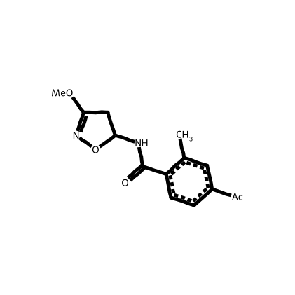 COC1=NOC(NC(=O)c2ccc(C(C)=O)cc2C)C1